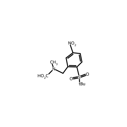 CN(Cc1cc([N+](=O)[O-])ccc1S(=O)(=O)C(C)(C)C)C(=O)O